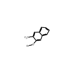 CCOc1[c]c2ccccc2cc1C(F)(F)F